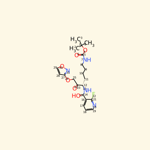 CC(C)(C)OC(=O)NCCCC[C@H](NC(O)c1cccnc1F)C(=O)COc1ccon1